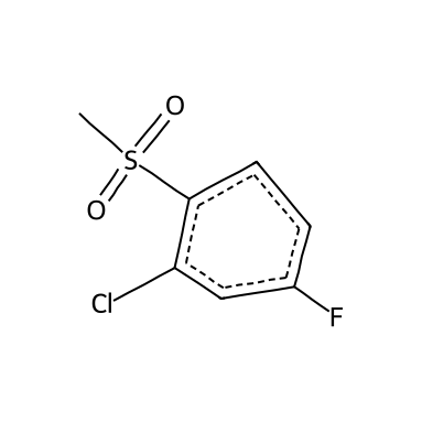 CS(=O)(=O)c1ccc(F)cc1Cl